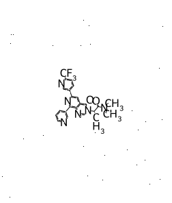 C[C@@H](C(=O)N(C)C)n1cnc2c(-c3cccnc3)nc(-c3ccc(C(F)(F)F)nc3)cc2c1=O